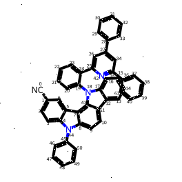 N#Cc1ccc2c(c1)c1c(ccc3c4ccccc4n(-c4ccccc4-c4cc(-c5ccccc5)cc(-c5ccccc5)n4)c31)n2-c1ccccc1